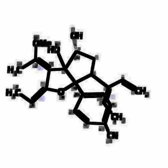 C=C/C(=C\C)C1C[C@@H](O)C2(O)C(=C(/C)OC)/C(=C\C)OC12c1ccc(C#N)cc1